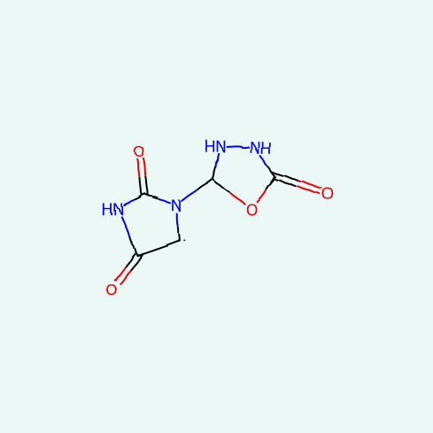 O=C1[CH]N(C2NNC(=O)O2)C(=O)N1